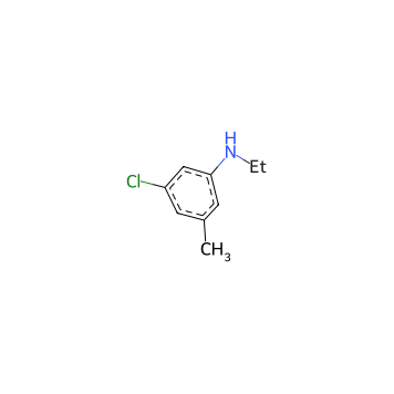 CCNc1cc(C)cc(Cl)c1